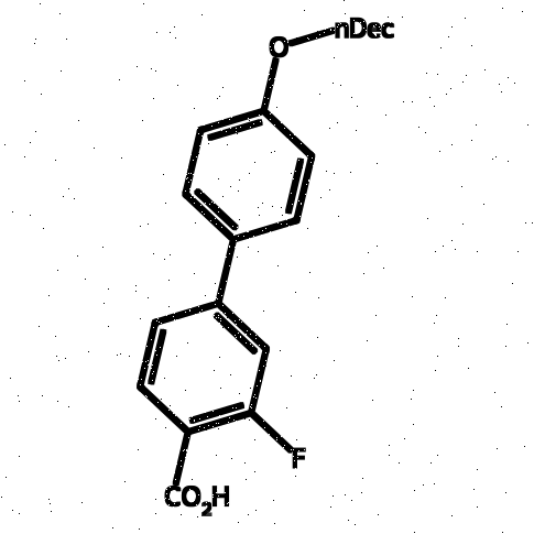 CCCCCCCCCCOc1ccc(-c2ccc(C(=O)O)c(F)c2)cc1